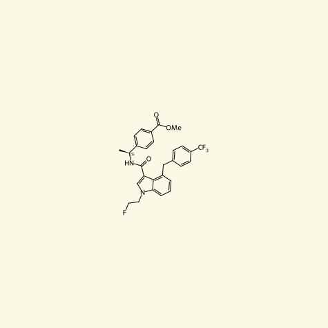 COC(=O)c1ccc([C@H](C)NC(=O)c2cn(CCF)c3cccc(Cc4ccc(C(F)(F)F)cc4)c23)cc1